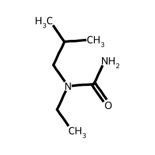 CCN(CC(C)C)C(N)=O